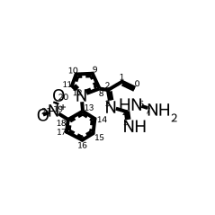 C=CC(=NC(=N)NN)c1cccn1-c1ccccc1[N+](=O)[O-]